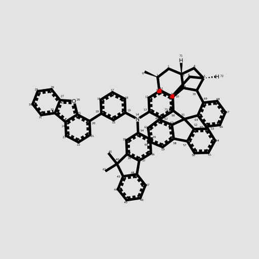 C[C@H]1C[C@@H]2C[C@@H]3C[C@H](C1)C21c2ccc(N(c4cccc(-c5cccc6c5oc5ccccc56)c4)c4ccc5c(c4)C(C)(C)c4ccccc4-5)cc2C2(c4ccccc4-c4ccccc42)c2ccccc2C31